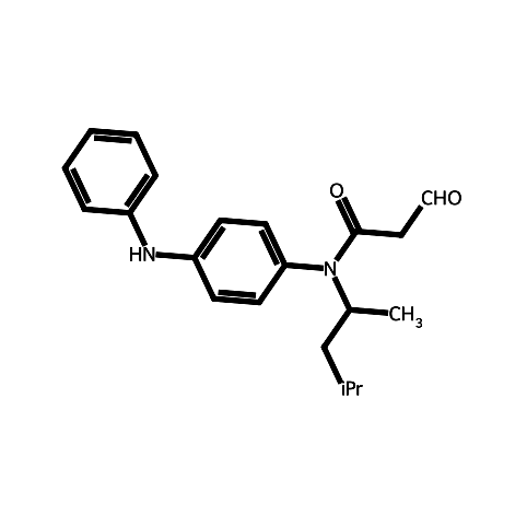 CC(C)CC(C)N(C(=O)CC=O)c1ccc(Nc2ccccc2)cc1